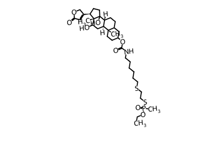 CCOP(C)(=O)SCCSCCCCCCNC(=O)OC1CC[C@@]2(C)C(CC[C@@H]3[C@@H]2CC(O)[C@]2(C)[C@@H](C4=CC(=O)OC4)CCC32O)C1